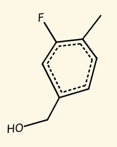 Cc1ccc(CO)cc1F